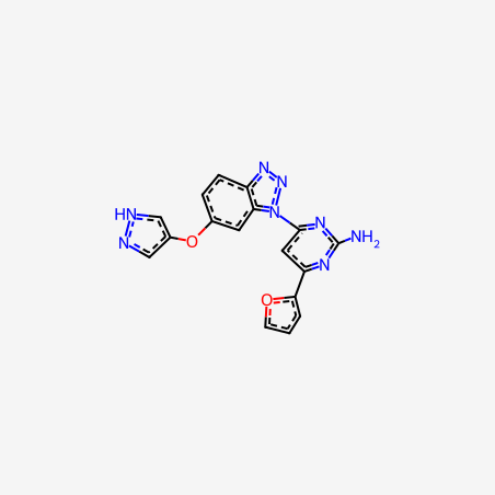 Nc1nc(-c2ccco2)cc(-n2nnc3ccc(Oc4cn[nH]c4)cc32)n1